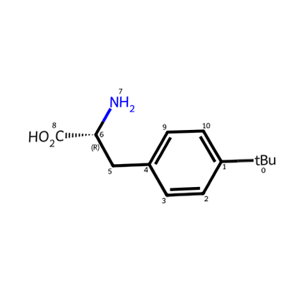 CC(C)(C)c1ccc(C[C@@H](N)C(=O)O)cc1